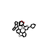 c1ccc(-c2cc(-c3cccc4oc5ccc6c(c5c34)Oc3ccccc3C63c4ccccc4-c4ccccc43)nc(-c3ccccc3)n2)cc1